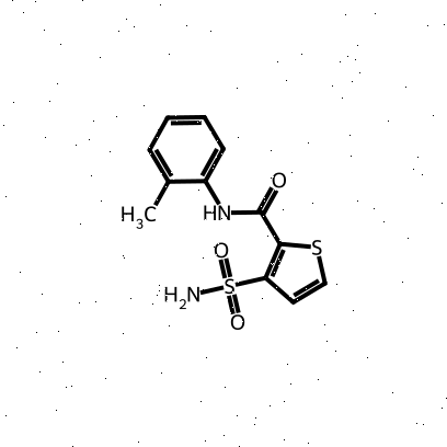 Cc1ccccc1NC(=O)c1sccc1S(N)(=O)=O